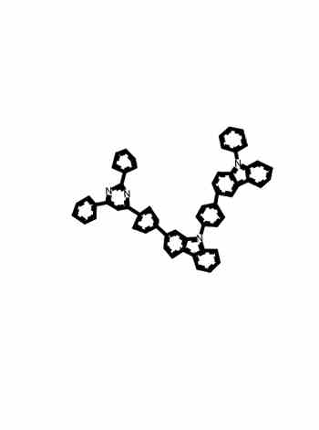 c1ccc(-c2cc(-c3ccc(-c4ccc5c6ccccc6n(-c6ccc(-c7ccc8c(c7)c7ccccc7n8-c7ccccc7)cc6)c5c4)cc3)nc(-c3ccccc3)n2)cc1